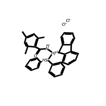 Cc1cc(C)c(C(=O)[NH][Hf+2]([CH]2c3ccccc3-c3ccccc32)[SiH](c2ccccc2)c2ccccc2)c(C)c1.[Cl-].[Cl-]